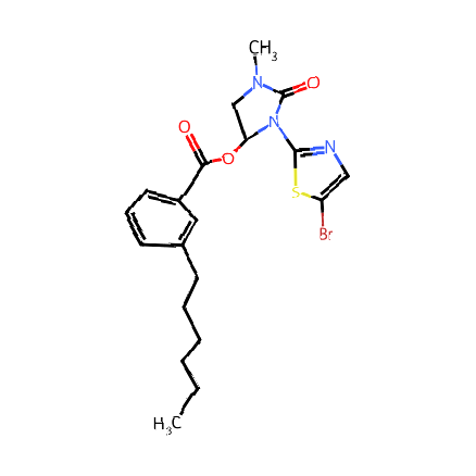 CCCCCCc1cccc(C(=O)OC2CN(C)C(=O)N2c2ncc(Br)s2)c1